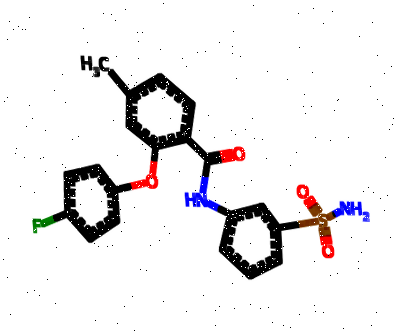 Cc1ccc(C(=O)Nc2cccc(S(N)(=O)=O)c2)c(Oc2ccc(F)cc2)c1